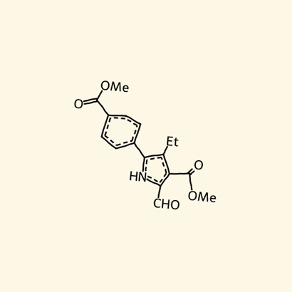 CCc1c(-c2ccc(C(=O)OC)cc2)[nH]c(C=O)c1C(=O)OC